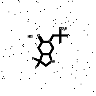 CC(C)(CN1CC2NCC(F)(F)C2CC1=O)C(=O)O.Cl